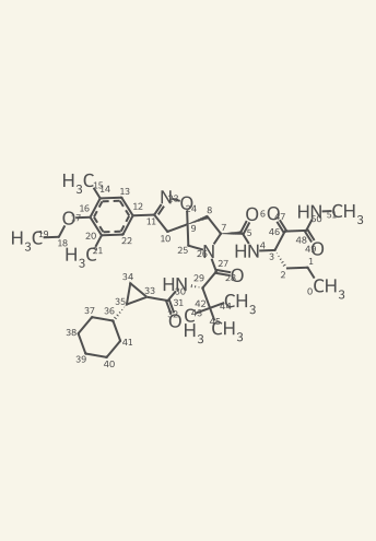 CCC[C@H](NC(=O)[C@@H]1C[C@]2(CC(c3cc(C)c(OCC)c(C)c3)=NO2)CN1C(=O)[C@@H](NC(=O)C1C[C@H]1C1CCCCC1)C(C)(C)C)C(=O)C(=O)NC